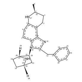 C[C@H]1CCc2c(ccc3c2nc(Cc2ccccc2)n3[C@H]2C[C@@H]3CC[C@H]2N3)N1